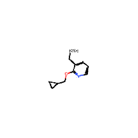 CNCc1cccnc1OCC1CC1